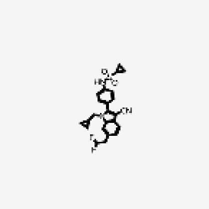 N#Cc1c(-c2ccc(NS(=O)(=O)C3CC3)cc2)n(CC2CC2)c2cc(CC(F)F)ccc12